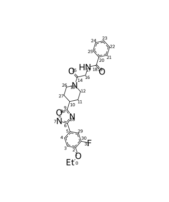 CCOc1ccc(-c2noc(C3CCN(C(=O)CNC(=O)c4ccccc4)CC3)n2)cc1F